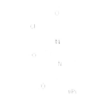 CCCC(=O)N1CCN(C(=O)Cl)C1=O